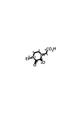 CCN1CCN(CC(=O)O)C(=O)C1=O